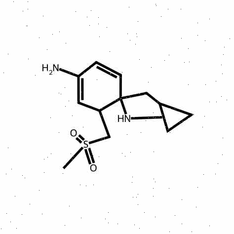 CNC1(CC2CC2)C=CC(N)=CC1CS(C)(=O)=O